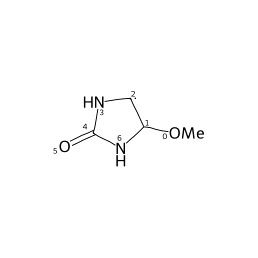 COC1[CH]NC(=O)N1